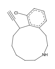 C#CC1CCCCCNCCc2cccc(Cl)c21